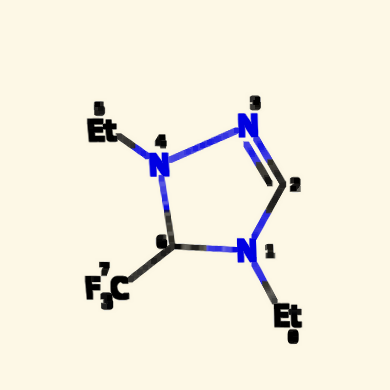 CCN1C=NN(CC)C1C(F)(F)F